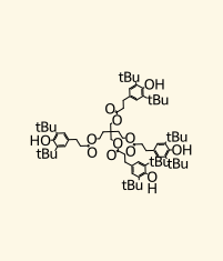 CC(C)(C)c1cc(CCC(=O)OCCC(CCOC(=O)CCc2cc(C(C)(C)C)c(O)c(C(C)(C)C)c2)(COC(=O)CCc2cc(C(C)(C)C)c(O)c(C(C)(C)C)c2)COC(=O)CCc2cc(C(C)(C)C)c(O)c(C(C)(C)C)c2)cc(C(C)(C)C)c1O